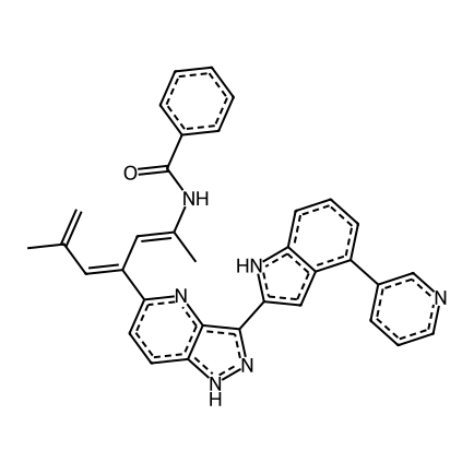 C=C(C)/C=C(\C=C(/C)NC(=O)c1ccccc1)c1ccc2[nH]nc(-c3cc4c(-c5cccnc5)cccc4[nH]3)c2n1